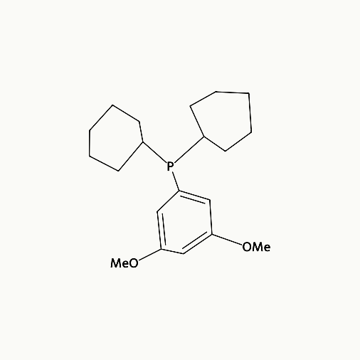 COc1cc(OC)cc(P(C2CCCCC2)C2CCCCC2)c1